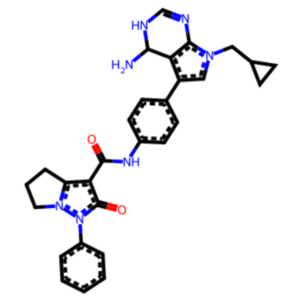 NC1NC=Nc2c1c(-c1ccc(NC(=O)c3c4n(n(-c5ccccc5)c3=O)CCC4)cc1)cn2CC1CC1